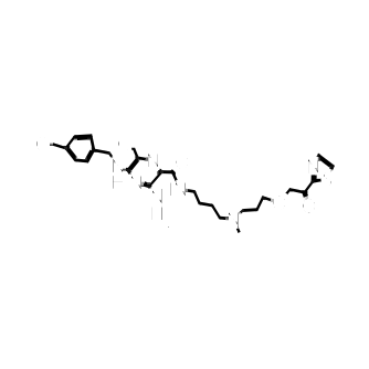 CN(CCCCNC(=O)c1nc(Cl)c(NCc2ccc(Cl)cc2)nc1N)CCCOCC(=O)c1nccs1